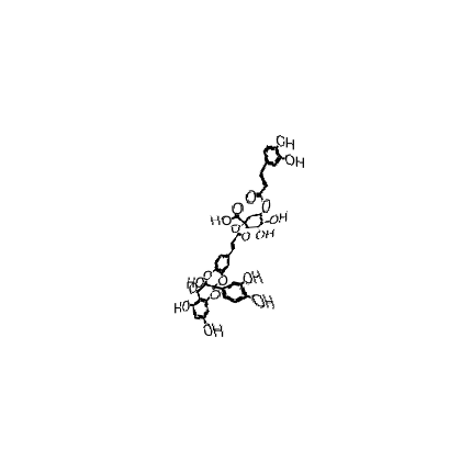 O=C(/C=C/c1ccc(O)c(O)c1)O[C@@H]1C[C@@](OC(=O)/C=C/c2ccc3c(c2)OC2(c4ccc(O)c(O)c4)Oc4cc(O)cc(O)c4C(=O)C2(O)O3)(C(=O)O)C[C@@H](O)[C@@H]1O